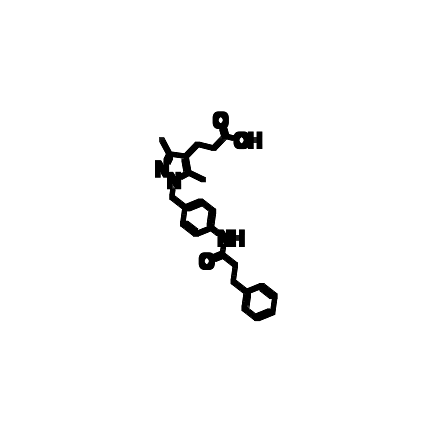 Cc1nn(Cc2ccc(NC(=O)CCc3ccccc3)cc2)c(C)c1CCC(=O)O